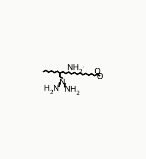 CCCCCCC(CCCCCCCCCCCCC(=O)OC)CCN(CCN)CCN.[NH2]